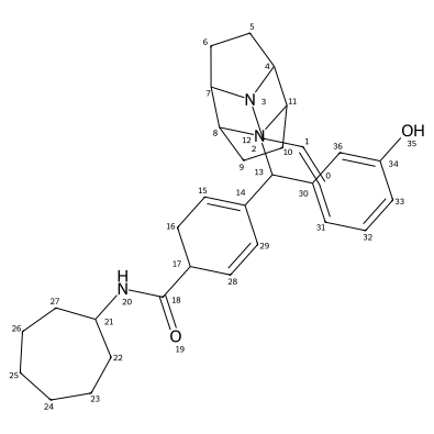 C=CCN1C2CCC1C1CCC2N1C(C1=CCC(C(=O)NC2CCCCCC2)C=C1)c1cccc(O)c1